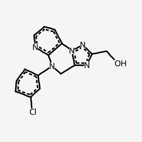 OCc1nc2n(n1)-c1cccnc1N(c1cccc(Cl)c1)C2